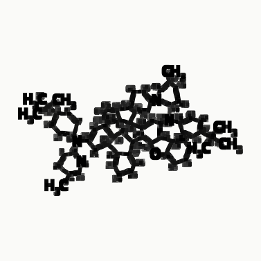 Cc1ccc(N(c2ccc(C(C)(C)C)cc2)c2ccc3c(c2)-c2ccccc2C2c4c(cc(N(c5ccc(C(C)(C)C)cc5)c5ccc(C)cn5)c5c4oc4ccccc45)C4(c5ccccc5-c5ccccc54)C32)nc1